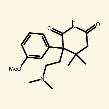 COc1cccc(C2(CCN(C)C)C(=O)NC(=O)CC2(C)C)c1